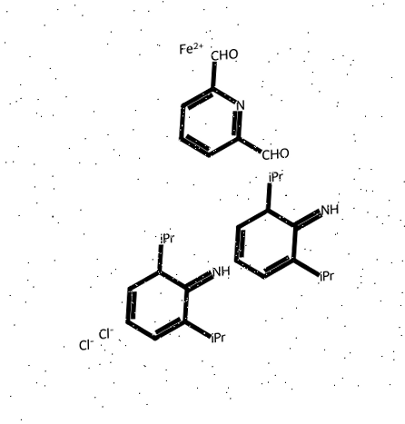 CC(C)C1=CC=CC(C(C)C)C1=N.CC(C)C1=CC=CC(C(C)C)C1=N.O=Cc1cccc(C=O)n1.[Cl-].[Cl-].[Fe+2]